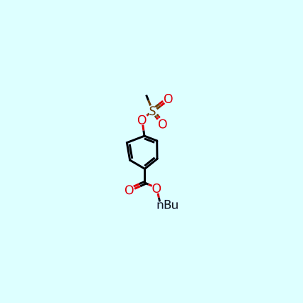 CCCCOC(=O)c1ccc(OS(C)(=O)=O)cc1